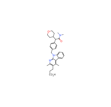 Cc1nc2c(c(C)c1CCC(=O)O)c1ccccc1n2Cc1ccc(C(C(=O)N(C)C)C2CCOCC2)cc1